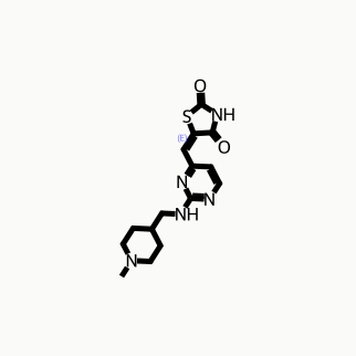 CN1CCC(CNc2nccc(/C=C3/SC(=O)NC3=O)n2)CC1